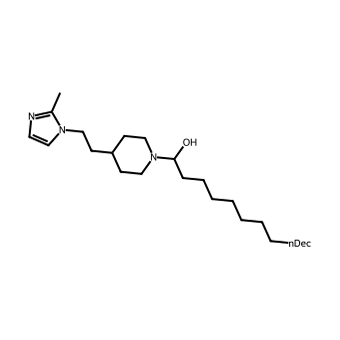 CCCCCCCCCCCCCCCCCC(O)N1CCC(CCn2ccnc2C)CC1